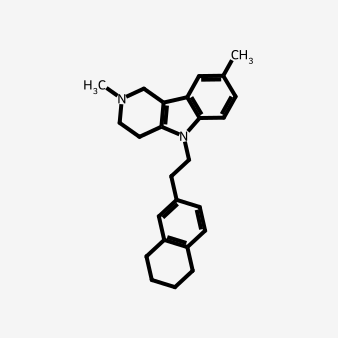 Cc1ccc2c(c1)c1c(n2CCc2ccc3c(c2)CCCC3)CCN(C)C1